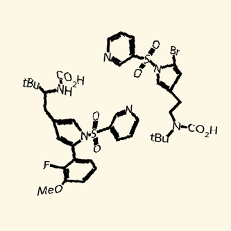 CC(C)(C)N(CCc1cc(Br)n(S(=O)(=O)c2cccnc2)c1)C(=O)O.COc1cccc(-c2cc(CC(NC(=O)O)C(C)(C)C)cn2S(=O)(=O)c2cccnc2)c1F